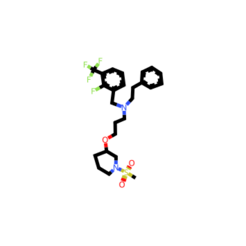 CS(=O)(=O)N1CCCC(OCCCN(CCc2ccccc2)Cc2cccc(C(F)(F)F)c2F)C1